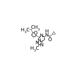 Cc1nc2cc(NC(=O)C3CC3)nc(-c3ccc(C(C)C)o3)n2n1